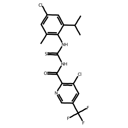 Cc1cc(Cl)cc(C(C)C)c1NC(=S)NC(=O)c1ncc(C(F)(F)F)cc1Cl